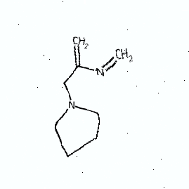 C=NC(=C)CN1CCCC1